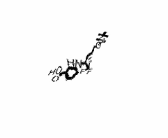 CC(C)(C)[Si](C)(C)OCCCC(Nc1cccc(C(=O)O)c1)C(F)(F)F